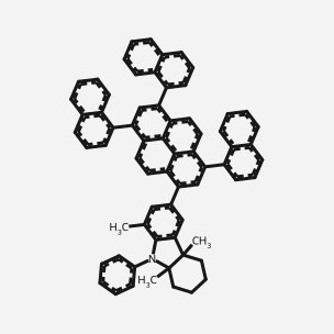 Cc1cc(-c2cc(-c3cccc4ccccc34)c3ccc4c(-c5cccc6ccccc56)cc(-c5cccc6ccccc56)c5ccc2c3c54)cc2c1N(c1ccccc1)C1(C)CCCCC21C